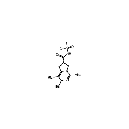 CC(C)(C)C1=NC(C(C)(C)C)C(C(C)(C)C)=C2CC(C(=O)NS(C)(=O)=O)CN12